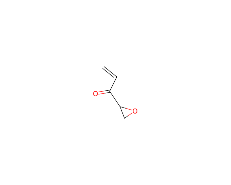 C=CC(=O)C1CO1